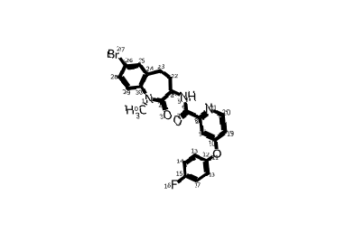 CN1C(=O)C(NC(=O)c2cc(Oc3ccc(F)cc3)ccn2)CCc2cc(Br)ccc21